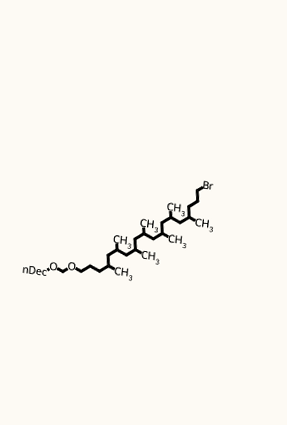 CCCCCCCCCCOCOCCCC(C)CC(C)CC(C)CC(C)CC(C)CC(C)CC(C)CCCBr